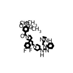 COc1cc(C(=O)N2CCC(CCN3CCC(Nc4nc5ccccc5n4Cc4ncc[nH]4)CC3)(c3ccc(F)c(F)c3)C2)cc(OC)c1OC